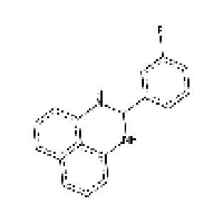 Fc1cccc(C2Nc3cccc4cccc(c34)N2)c1